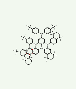 CC(C)(C)c1ccc(N(c2ccc(C(C)(C)C)cc2)c2cc3c4c(c2)N(c2ccc(C(C)(C)C)cc2-c2ccccc2)c2cc(N5c6ccc(C(C)(C)C)cc6C6(C)CCCCC56C)ccc2B4c2cc4c(cc2N3c2ccc3c(c2)C(C)(C)CCC3(C)C)C(C)(C)CCC4(C)C)cc1